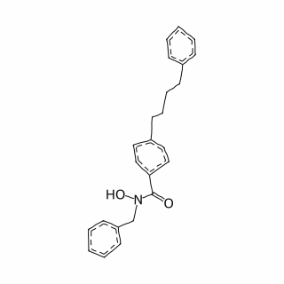 O=C(c1ccc(CCCCc2ccccc2)cc1)N(O)Cc1ccccc1